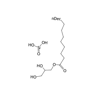 CCCCCCCCCCCCCCCCCC(=O)OCC(O)CO.O=[Si](O)O